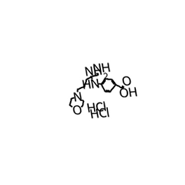 Cl.Cl.N=CC(N)(CCCN1CCOCC1)Nc1ccc(C(=O)O)cc1